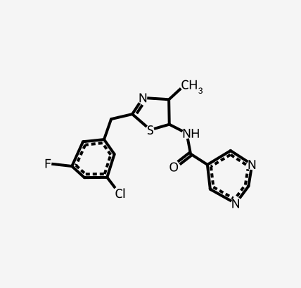 CC1N=C(Cc2cc(F)cc(Cl)c2)SC1NC(=O)c1cncnc1